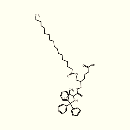 CCCCCCCCCCCCCCCCCC(=O)OCC(CCCC(=O)O)COC(=O)C(NC(c1ccccc1)(c1ccccc1)c1ccccc1)C(C)C